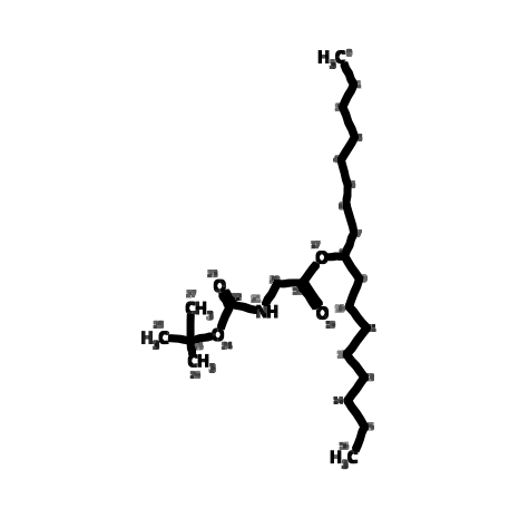 CCCCCCCCC(CCCCCCCC)OC(=O)CNC(=O)OC(C)(C)C